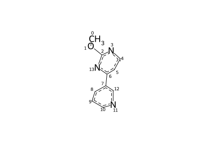 COc1n[c]cc(-c2cccnc2)n1